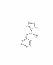 OC(Cc1ccccc1)c1cccs1